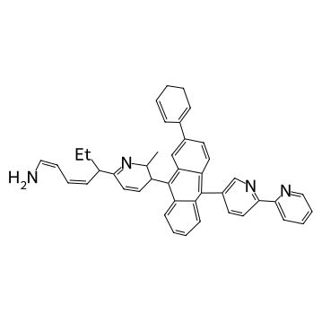 CCC(/C=C\C=C/N)C1=NC(C)C(c2c3ccccc3c(-c3ccc(-c4ccccn4)nc3)c3ccc(C4=CCCC=C4)cc23)C=C1